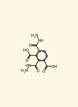 NNC(=O)c1ccc(C(=O)O)c(C(=O)NN)c1C(=O)O